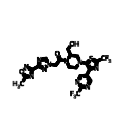 Cc1nc(-c2ncn(CC(=O)N3CCN(c4sc(C(F)(F)F)nc4-c4cnc(C(F)(F)F)nc4)CC3CO)n2)no1